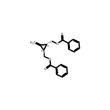 C=C1[C@H](COC(=O)c2ccccc2)[C@H]1COC(=O)c1ccccc1